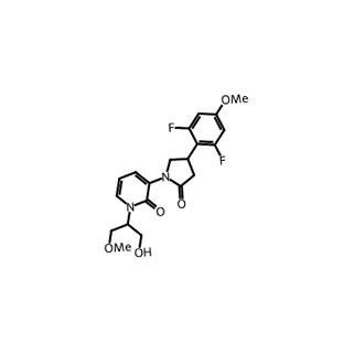 COCC(CO)n1cccc(N2CC(c3c(F)cc(OC)cc3F)CC2=O)c1=O